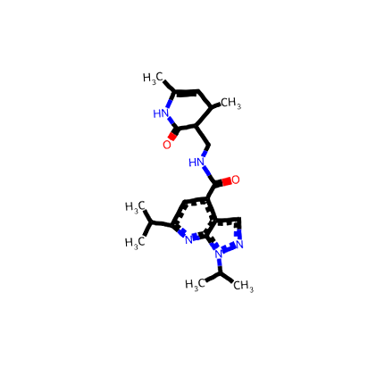 CC1=CC(C)C(CNC(=O)c2cc(C(C)C)nc3c2cnn3C(C)C)C(=O)N1